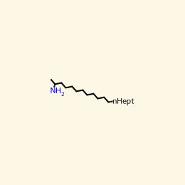 CCCCCCCCCCCCCCCCCC(C)N